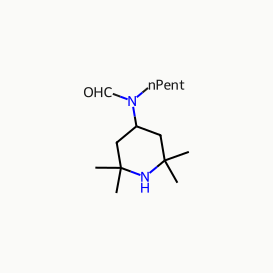 CCCCCN(C=O)C1CC(C)(C)NC(C)(C)C1